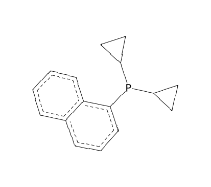 c1ccc2c(P(C3CC3)C3CC3)cccc2c1